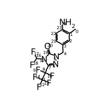 Cc1cc(Cn2nc(C(F)(F)C(F)(F)F)n(C(F)F)c2=O)ccc1N